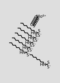 CCCCCCCCNC(=S)[S-].CCCCCCCCNC(=S)[S-].CCCCCCCCNC(=S)[S-].CCCCCCCCNC(=S)[S-].CCCCCCCCNC(=S)[S-].CCCCCCCCNC(=S)[S-].O=S.O=S.O=S.O=S.O=S.O=S.[Mo+6]